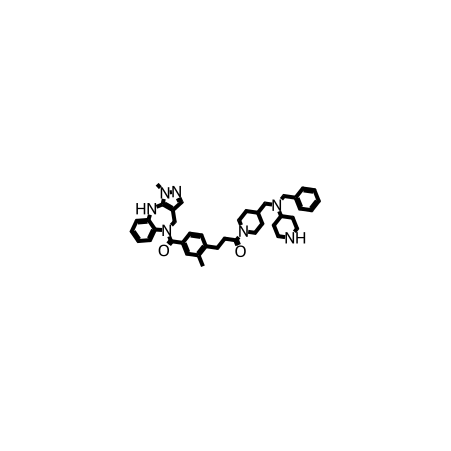 Cc1cc(C(=O)N2Cc3cnn(C)c3Nc3ccccc32)ccc1CCC(=O)N1CCC(CN(Cc2ccccc2)C2CCNCC2)CC1